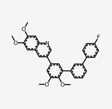 COc1cc2cc(-c3cc(OC)c(OC)c(-c4cccc(-c5ccc(F)cc5)c4)c3)cnc2cc1OC